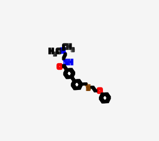 CN(C)CCNC(=O)c1ccc(-c2cccc(CSCCOc3ccccc3)c2)cc1